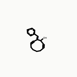 OC1C#CCCCCC#C/C1=C\c1ccccc1